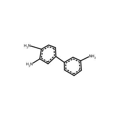 Nc1cccc(-c2ccc(N)c(N)c2)c1